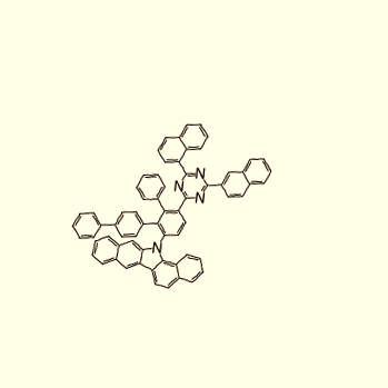 c1ccc(-c2ccc(-c3c(-n4c5cc6ccccc6cc5c5ccc6ccccc6c54)ccc(-c4nc(-c5ccc6ccccc6c5)nc(-c5cccc6ccccc56)n4)c3-c3ccccc3)cc2)cc1